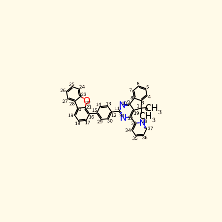 CC1(C)c2ccccc2-c2nc(-c3ccc(-c4cccc5c4oc4ccccc45)cc3)nc(-c3ccccn3)c21